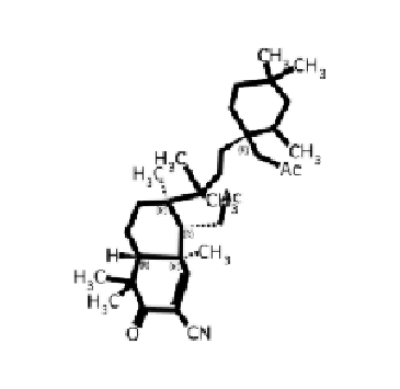 CC(=O)C[C@@H]1[C@@]2(C)C=C(C#N)C(=O)C(C)(C)[C@@H]2CC[C@@]1(C)C(C)(C)CC[C@@]1(CC(C)=O)CCC(C)(C)CC1C